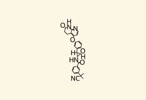 CC(C)(C#N)c1cccc(C(=O)N[C@@H]2[C@H]3Oc4ccc(Oc5ccnc6c5CCC(=O)N6)cc4[C@@H]23)c1